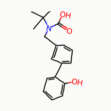 CC(C)(C)N(Cc1cccc(-c2ccccc2O)c1)C(=O)O